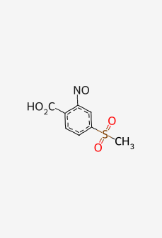 CS(=O)(=O)c1ccc(C(=O)O)c(N=O)c1